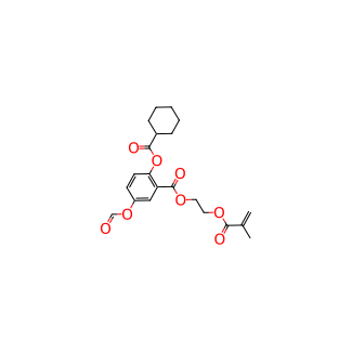 C=C(C)C(=O)OCCOC(=O)c1cc(OC=O)ccc1OC(=O)C1CCCCC1